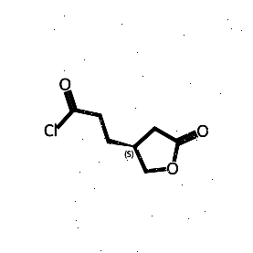 O=C(Cl)CC[C@@H]1COC(=O)C1